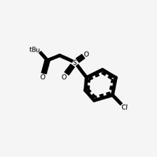 CC(C)(C)C(=O)CS(=O)(=O)c1ccc(Cl)cc1